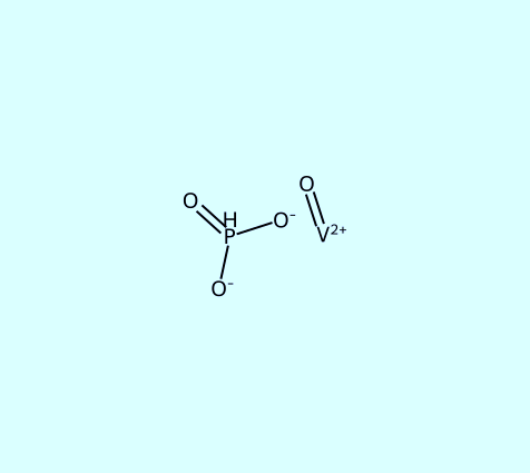 O=[PH]([O-])[O-].[O]=[V+2]